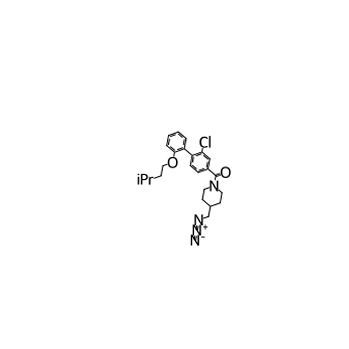 CC(C)CCOc1ccccc1-c1ccc(C(=O)N2CCC(CN=[N+]=[N-])CC2)cc1Cl